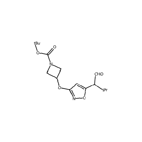 CC(C)C(C=O)c1cc(OC2CN(C(=O)OC(C)(C)C)C2)no1